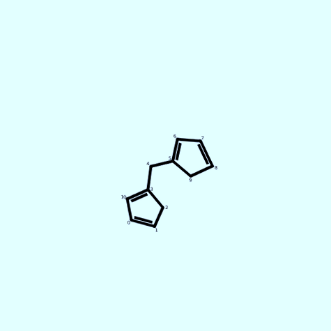 C1=CCC(CC2=CC=CC2)=C1